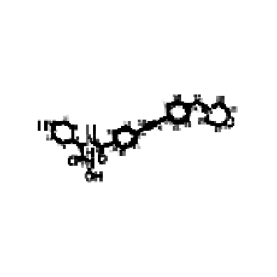 O=C(N[C@H](C(=O)NO)C1CCNCC1)c1ccc(C#Cc2ccc(CN3CCOCC3)cc2)cc1